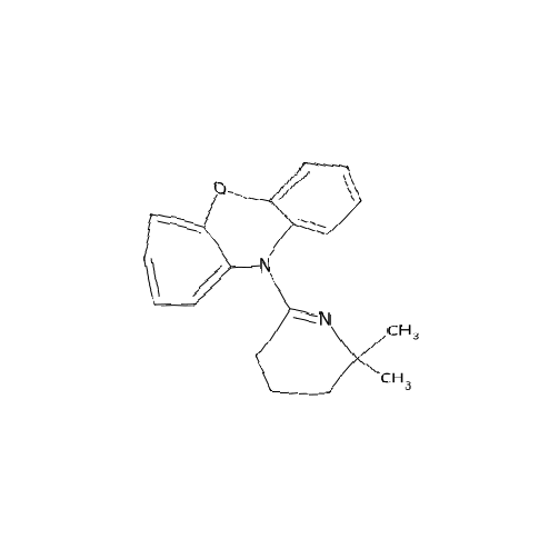 CC1(C)CCCC(N2c3ccccc3Oc3ccccc32)=N1